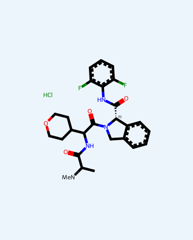 CNC(C)C(=O)NC(C(=O)N1Cc2ccccc2[C@H]1C(=O)Nc1c(F)cccc1F)C1CCOCC1.Cl